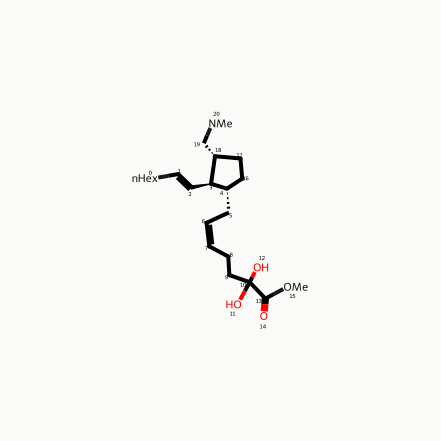 CCCCCC/C=C/[C@@H]1[C@@H](C/C=C\CCC(O)(O)C(=O)OC)CC[C@H]1CNC